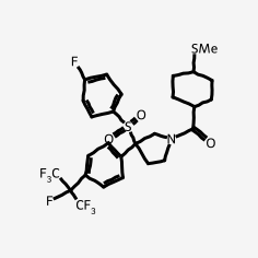 CSC1CCC(C(=O)N2CCC(c3ccc(C(F)(C(F)(F)F)C(F)(F)F)cc3)(S(=O)(=O)c3ccc(F)cc3)C2)CC1